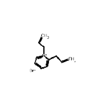 C=CCc1cccc[n+]1CC=C.[Br-]